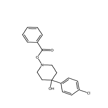 O=C(ON1CCC(O)(c2ccc(Cl)cc2)CC1)c1ccccc1